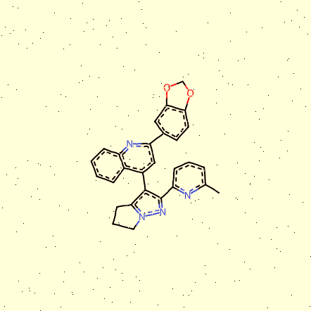 Cc1cccc(-c2nn3c(c2-c2cc(-c4ccc5c(c4)OCO5)nc4ccccc24)CCC3)n1